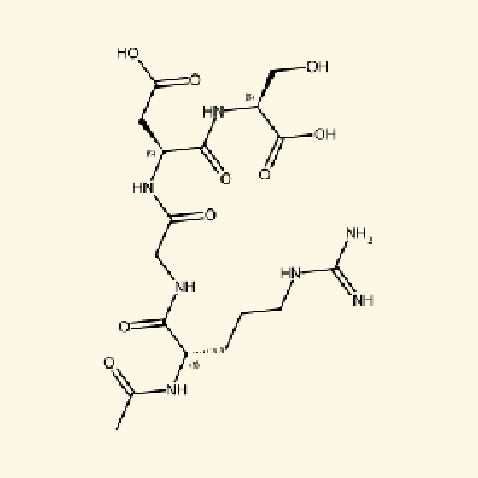 CC(=O)N[C@@H](CCCNC(=N)N)C(=O)NCC(=O)N[C@@H](CC(=O)O)C(=O)N[C@@H](CO)C(=O)O